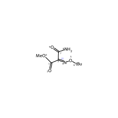 COC(=O)/C(=N/OC(C)(C)C)C(N)=O